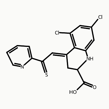 O=C(O)C1CC(=CC(=S)c2ccccn2)c2c(Cl)cc(Cl)cc2N1